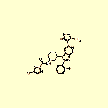 Cc1cn[nH]c1-c1cc2c(cn1)nc(-c1ccccc1F)n2[C@@H]1CCC[C@H](NC(=O)c2ncc(Cl)s2)C1